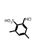 Cc1cc(C)c(S(=O)(=O)O)c(C)c1.Cl